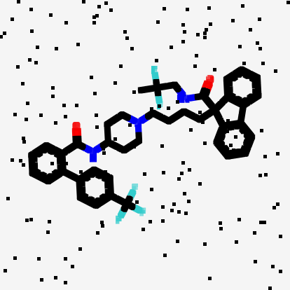 CC(F)(F)CNC(=O)C1(CCCCN2CCC(NC(=O)c3ccccc3-c3ccc(C(F)(F)F)cc3)CC2)c2ccccc2-c2ccccc21